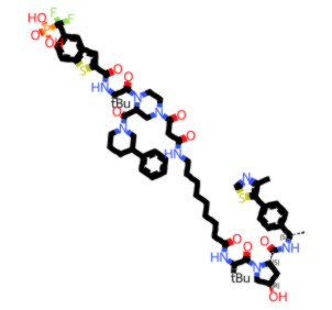 Cc1ncsc1-c1ccc([C@H](C)NC(=O)[C@@H]2C[C@@H](O)CN2C(=O)C(NC(=O)CCCCCCCCNC(=O)CC(=O)N2CCN(C(=O)C(NC(=O)c3cc4cc(C(F)(F)P(=O)(O)O)ccc4s3)C(C)(C)C)C(C(=O)N3CCCC(c4ccccc4)C3)C2)C(C)(C)C)cc1